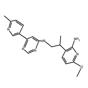 COc1ccc(C(C)CNc2cc(-c3ccc(C)nc3)ncn2)c(N)n1